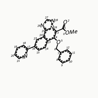 COC(=O)c1c(OCc2ccccc2)c2ccc(-c3ccccn3)cc2c2ncnn12